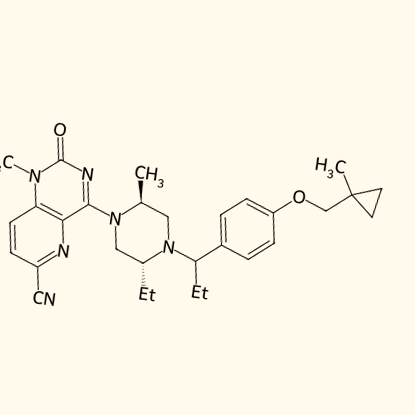 CCC(c1ccc(OCC2(C)CC2)cc1)N1C[C@H](C)N(c2nc(=O)n(C)c3ccc(C#N)nc23)C[C@H]1CC